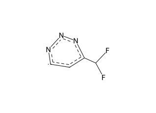 FC(F)c1c[c]nnn1